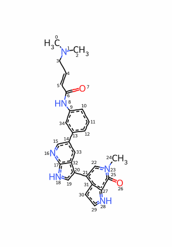 CN(C)CC=CC(=O)Nc1cccc(-c2cnc3[nH]cc(-c4cn(C)c(=O)c5[nH]ccc45)c3c2)c1